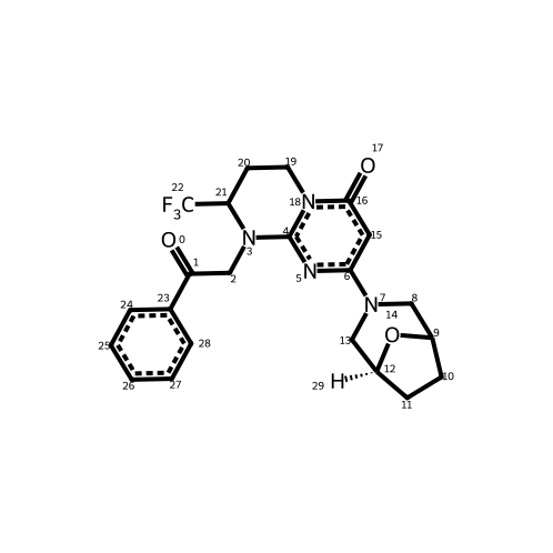 O=C(CN1c2nc(N3CC4CC[C@@H](C3)O4)cc(=O)n2CCC1C(F)(F)F)c1ccccc1